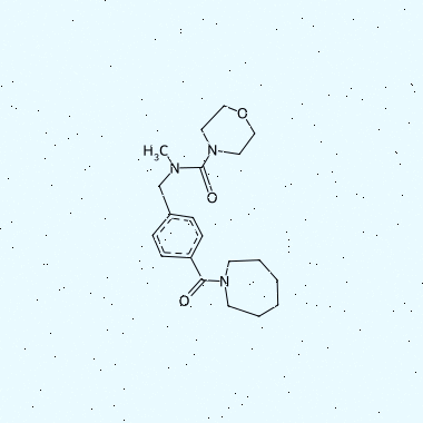 CN(Cc1ccc(C(=O)N2CCCCCC2)cc1)C(=O)N1CCOCC1